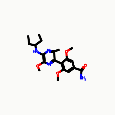 CCC(CC)Nc1nc(C)c(-c2c(OC)cc(C(N)=O)cc2OC)nc1OC